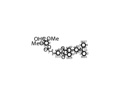 COc1cc(OC(=O)CCCc2ccc(N3C(=O)c4cccc5c(-c6ccc(N(c7ccccc7)c7ccccc7)cc6)ccc(c45)C3=O)cc2)cc(OC)c1C=O